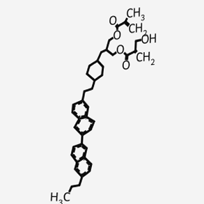 C=C(C)C(=O)OCC(COC(=O)C(=C)CO)CC1CCC(CCc2ccc3cc(-c4ccc5cc(CCC)ccc5c4)ccc3c2)CC1